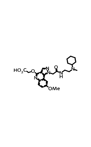 COc1ccc2nc(OCC(=O)O)c3cnn(CC(=O)NCCN(C)C4CCCCC4)c3c2c1